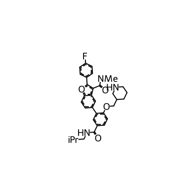 CNC(=O)c1c(-c2ccc(F)cc2)oc2ccc(-c3cc(C(=O)NCC(C)C)ccc3OCC3CCCNC3)cc12